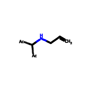 C=CCNC(C(C)=O)C(C)=O